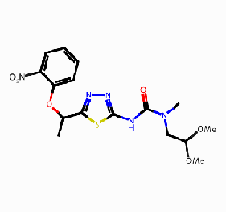 COC(CN(C)C(=O)Nc1nnc(C(C)Oc2ccccc2[N+](=O)[O-])s1)OC